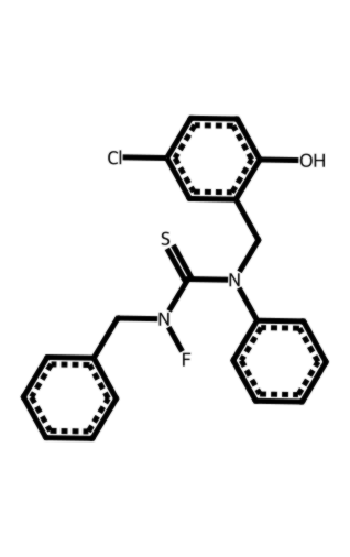 Oc1ccc(Cl)cc1CN(C(=S)N(F)Cc1ccccc1)c1ccccc1